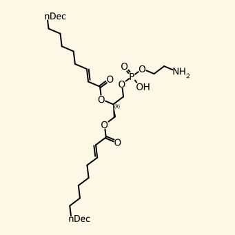 CCCCCCCCCCCCCCCC=CC(=O)OC[C@H](COP(=O)(O)OCCN)OC(=O)C=CCCCCCCCCCCCCCCC